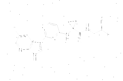 O=C(NCC(F)F)C1(Nc2ccnc(-c3c[nH]c4ncc(F)cc34)n2)CC1